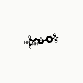 CS(=O)(=O)c1ccc(-c2ccc(/C=C3\NC(=S)NC3=O)s2)cc1